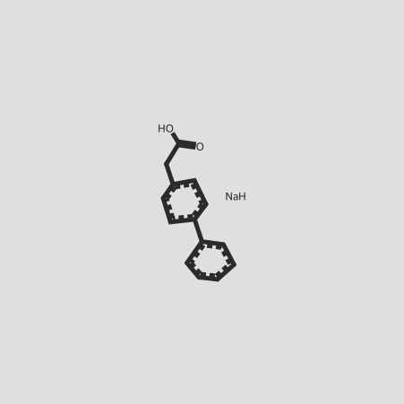 O=C(O)Cc1ccc(-c2ccccc2)cc1.[NaH]